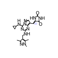 Cc1nn(C)c(C)c1CNc1nc(NC2CC2)n2ncc(/C=C3\NC(=O)NC3=O)c2n1